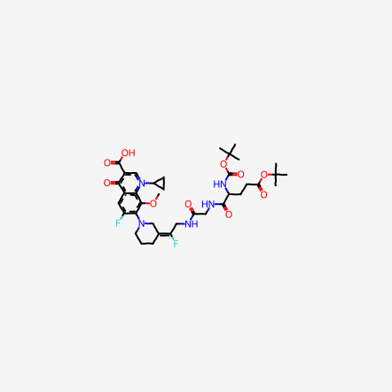 COc1c(N2CCC/C(=C(\F)CNC(=O)CNC(=O)C(CCC(=O)OC(C)(C)C)NC(=O)OC(C)(C)C)C2)c(F)cc2c(=O)c(C(=O)O)cn(C3CC3)c12